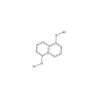 CCOc1cccc2c(OC(C)C)cccc12